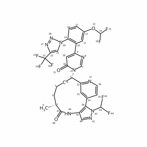 C[C@@H]1CCC[C@H](n2cnc(-c3cc(OC(F)F)ccc3-n3cc(C(F)(F)F)nn3)cc2=O)c2cc(ccn2)-c2c(cnn2C(F)F)NC1=O